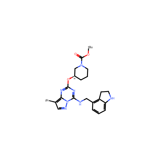 CC(C)c1cnn2c(NCc3cccc4c3CCN4)nc(O[C@@H]3CCCN(C(=O)OC(C)(C)C)C3)nc12